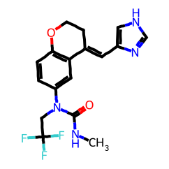 CNC(=O)N(CC(F)(F)F)c1ccc2c(c1)/C(=C/c1c[nH]cn1)CCO2